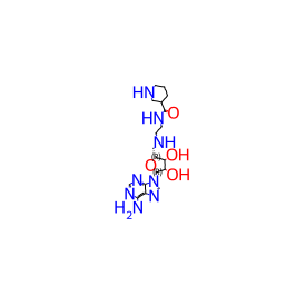 Nc1ncnc2c1ncn2[C@@H]1O[C@H](CNCCNC(=O)C2CCCNC2)C(O)C1O